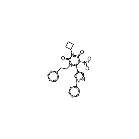 O=c1c([N+](=O)[O-])c(-c2cnn(-c3ccccc3)c2)n(CCc2ccccc2)c(=O)n1C1CCC1